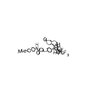 COc1ccc(NC(=O)OCc2ccc([C@H]3C[C@@]4(C)[C@@H](CC[C@@]4(O)C(F)(F)C(F)(F)F)[C@@H]4CCC5=CC(=O)CCC5=C43)cc2)cc1